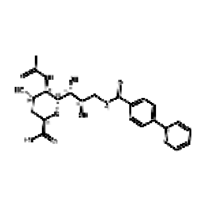 CC(=O)N[C@H]1[C@H]([C@H](O)[C@H](O)CNC(=O)c2ccc(-c3ccccc3)cc2)O[C@@H](C(=O)O)C[C@@H]1O